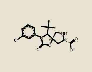 CC(C)(C)C1N(c2cccc(Cl)c2)C(=O)O[C@]12CN[C@H](C(=O)O)C2